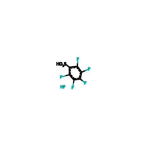 F.O=S(=O)(O)c1c(F)c(F)c(F)c(F)c1F